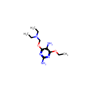 CCOc1nc(N)nc(OCN(CC)CC)c1N